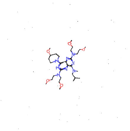 COCCN(CCOC)c1nc(N2CCC(OC)CC2)c2nc(N(CCOC)CCOC)nc(N(C)CC(C)C)c2n1